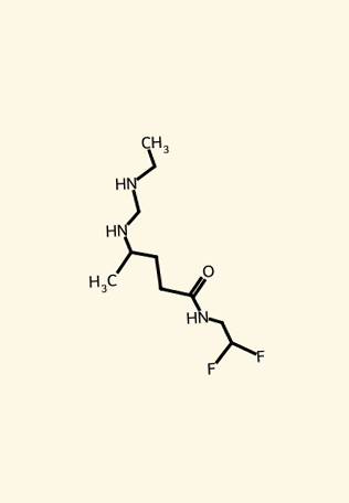 CCNCNC(C)CCC(=O)NCC(F)F